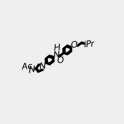 CC(=O)N(C)C1CCN(c2ccc(NC(=O)c3ccc(OCCC(C)C)cc3)cc2)C1